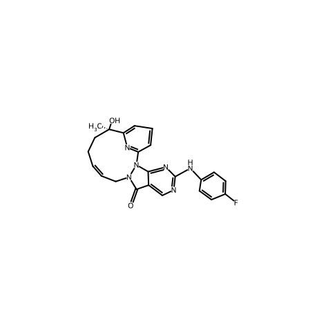 C[C@@]1(O)CC/C=C\Cn2c(=O)c3cnc(Nc4ccc(F)cc4)nc3n2-c2cccc1n2